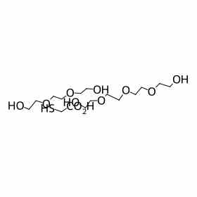 O=C(O)CS.OCCOCCOCCO.OCCOCCOCCOCCO